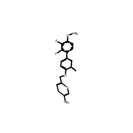 CCCCOc1ccc(C2=CC=C(OCC3CCC(CCCC)CO3)C(C)C2)c(F)c1F